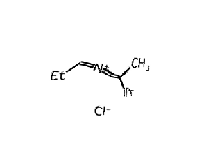 CCC=[N+]=C(C)C(C)C.[Cl-]